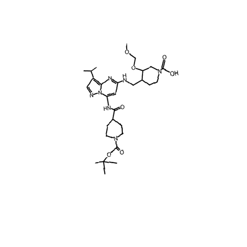 COCOC1CN(C(=O)O)CCC1CNc1cc(NC(=O)C2CCN(C(=O)OC(C)(C)C)CC2)n2ncc(C(C)C)c2n1